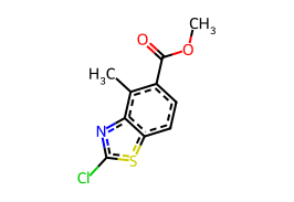 COC(=O)c1ccc2sc(Cl)nc2c1C